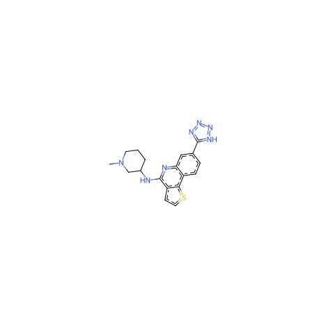 CN1CCCC(Nc2nc3cc(-c4nnn[nH]4)ccc3c3sccc23)C1